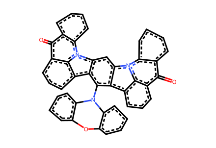 O=c1c2ccccc2n2c3cc4c(c(N5c6ccccc6Oc6ccccc65)c3c3cccc1c32)c1cccc2c(=O)c3ccccc3n4c21